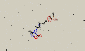 Cc1noc(=O)n1C/C=C/CCOS(C)(=O)=O